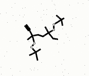 C#CC(C)(CCC(C)(CC)OOC(C)(C)C)OOC(C)(C)C